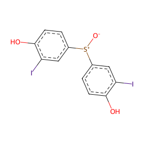 [O-][S+](c1ccc(O)c(I)c1)c1ccc(O)c(I)c1